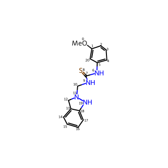 COc1cccc(NC(=S)NCN2Cc3ccccc3N2)c1